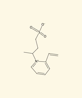 C=Cc1cccc[n+]1C(C)CCS(=O)(=O)[O-]